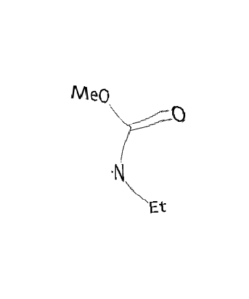 CC[N]C(=O)OC